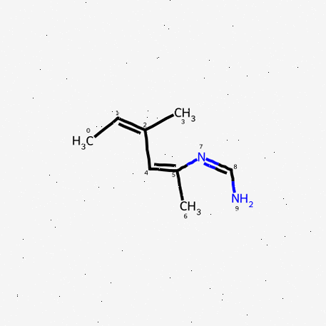 C\C=C(C)/C=C(C)\N=C/N